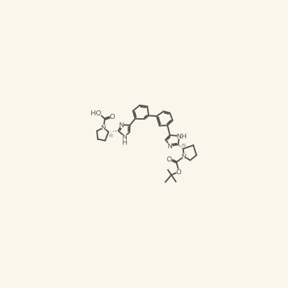 CC(C)(C)OC(=O)N1CCC[C@H]1c1ncc(-c2cccc(-c3cccc(-c4c[nH]c([C@@H]5CCCN5C(=O)O)n4)c3)c2)[nH]1